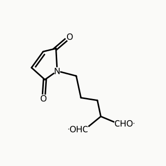 O=[C]C([C]=O)CCCN1C(=O)C=CC1=O